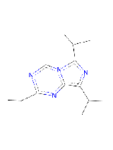 CCc1ncn2c(C(C)C)nc(C(C)C)c2n1